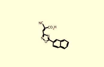 N#CC(=Cc1noc(-c2ccc3ccccc3c2)n1)C(=O)O